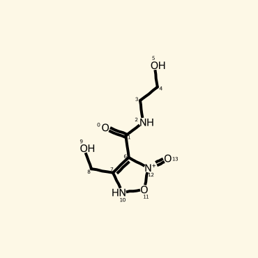 O=C(NCCO)c1c(CO)[nH]o[n+]1=O